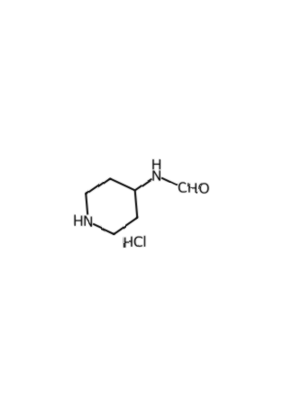 Cl.O=CNC1CCNCC1